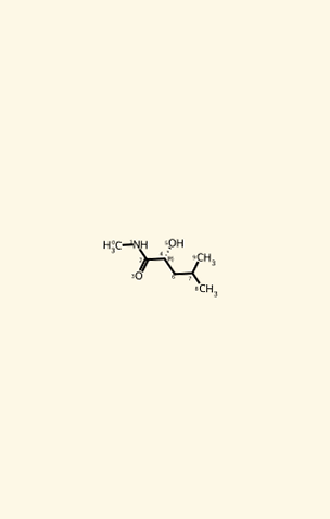 CNC(=O)[C@H](O)CC(C)C